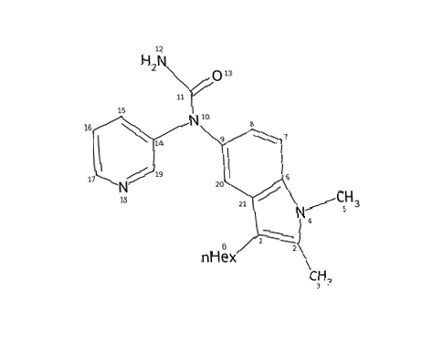 CCCCCCc1c(C)n(C)c2ccc(N(C(N)=O)c3cccnc3)cc12